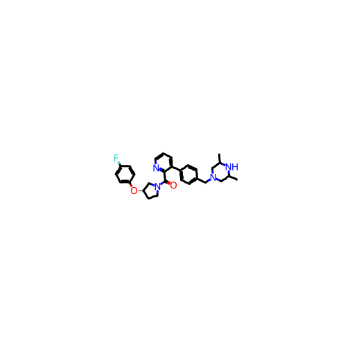 CC1CN(Cc2ccc(-c3cccnc3C(=O)N3CC[C@H](Oc4ccc(F)cc4)C3)cc2)CC(C)N1